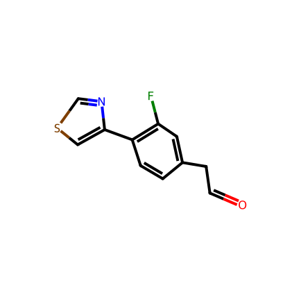 O=CCc1ccc(-c2cscn2)c(F)c1